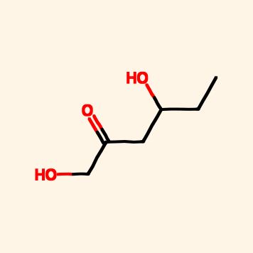 CCC(O)CC(=O)CO